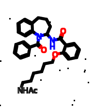 CC(=O)NCCCCCCOc1ccccc1C(=O)NC1CCCc2ccccc2N1C(=O)c1ccccc1